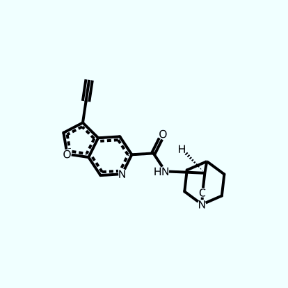 C#Cc1coc2cnc(C(=O)N[C@@H]3CN4CCC3CC4)cc12